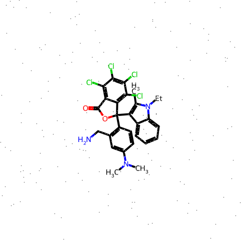 CCn1c(C)c(C2(c3ccc(N(C)C)cc3CN)OC(=O)c3c(Cl)c(Cl)c(Cl)c(Cl)c32)c2ccccc21